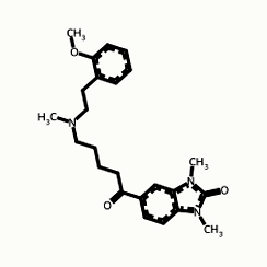 COc1ccccc1CCN(C)CCCCC(=O)c1ccc2c(c1)n(C)c(=O)n2C